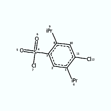 CC(C)c1cc(S(=O)(=O)Cl)c(C(C)C)cc1Cl